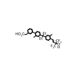 CCC(CC)(c1ccc(/C=C/C(O)(C(F)(F)F)C(F)(F)F)c(C)c1)c1ccc(-c2cccc(CC(=O)O)c2)c(C)c1